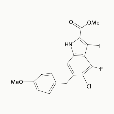 COC(=O)c1[nH]c2cc(Cc3ccc(OC)cc3)c(Cl)c(F)c2c1I